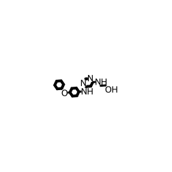 OCCNc1cc(Nc2ccc(Oc3ccccc3)cc2)ncn1